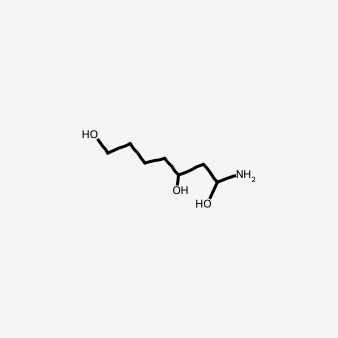 NC(O)CC(O)CCCCO